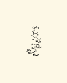 COCCN1CCN(c2cnc(-c3n[nH]c(-c4cc(OC)c5ncnn5c4)c3C(C)C)s2)[C@H](C)C1